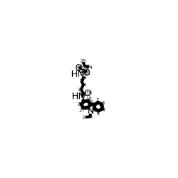 CCn1c2ccccc2c2cc(NC(=O)CCCCNS(=O)(=O)C(C)C)ccc21